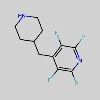 Fc1nc(F)c(F)c(CC2CCNCC2)c1F